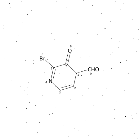 O=CC1C=CN=C(Br)C1=O